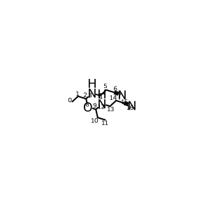 CCC(NCCC#N)OC(CC)NCCC#N